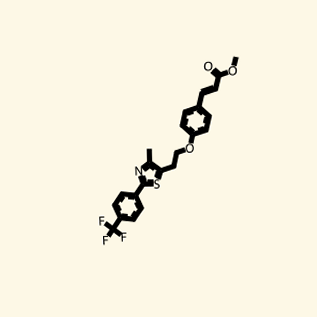 COC(=O)C=Cc1ccc(OCCc2sc(-c3ccc(C(F)(F)F)cc3)nc2C)cc1